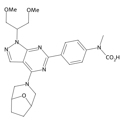 COCC(COC)n1ncc2c(N3CC4CCC(C3)O4)nc(-c3ccc(N(C)C(=O)O)cc3)nc21